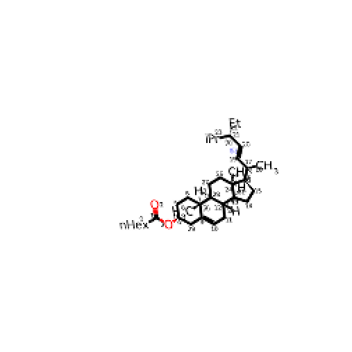 CCCCCCC(=O)O[C@H]1CC[C@@]2(C)C(=CC[C@H]3[C@@H]4CC[C@H]([C@H](C)/C=C/[C@@H](CC)C(C)C)[C@@]4(C)CC[C@@H]32)C1